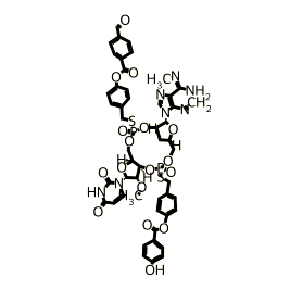 C=Nc1c(/C(N)=N\C)ncn1[C@@H]1O[C@@H]2COP(=O)(SCc3ccc(OC(=O)c4ccc(O)cc4)cc3)O[C@H]3[C@@H](OC)[C@H](n4ccc(=O)[nH]c4=O)O[C@@H]3COP(=O)(SCc3ccc(OC(=O)c4ccc(C=O)cc4)cc3)O[C@@H]1C2